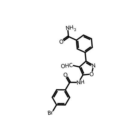 NC(=O)c1cccc(-c2noc(NC(=O)c3ccc(Br)cc3)c2C=O)c1